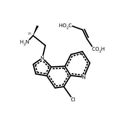 C[C@H](N)Cn1ccc2cc(Cl)c3ncccc3c21.O=C(O)C=CC(=O)O